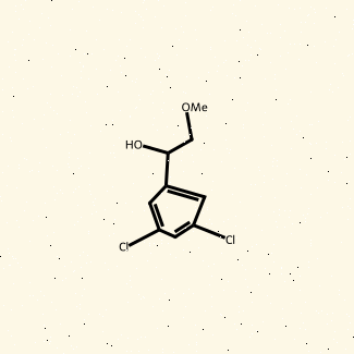 COCC(O)c1cc(Cl)cc(Cl)c1